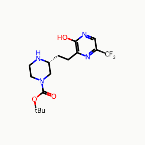 CC(C)(C)OC(=O)N1CCN[C@H](CCc2nc(C(F)(F)F)cnc2O)C1